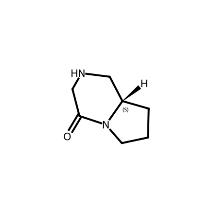 O=C1CNC[C@@H]2CCCN12